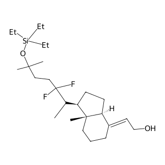 CC[Si](CC)(CC)OC(C)(C)CCC(F)(F)C(C)[C@H]1CC[C@H]2/C(=C/CO)CCC[C@]12C